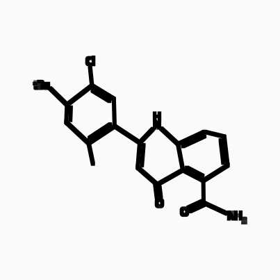 Cc1cc(C(C)(C)C)c(Cl)cc1-c1cc(=O)c2c(C(N)=O)cccc2[nH]1